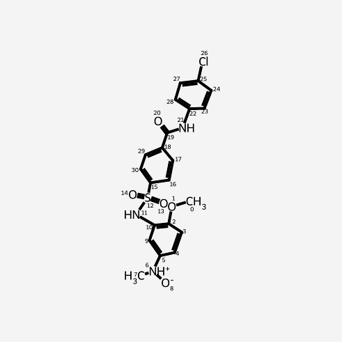 COc1ccc([NH+](C)[O-])cc1NS(=O)(=O)c1ccc(C(=O)Nc2ccc(Cl)cc2)cc1